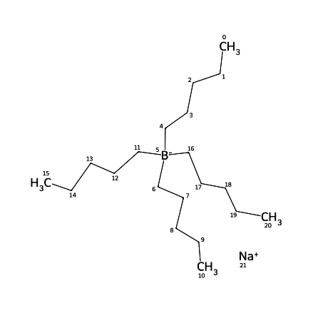 CCCCC[B-](CCCCC)(CCCCC)CCCCC.[Na+]